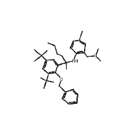 CCCCC(C)(Pc1ccc(C)cc1CN(C)C)c1cc(C(C)(C)C)cc(C(C)(C)C)c1OCc1ccccc1